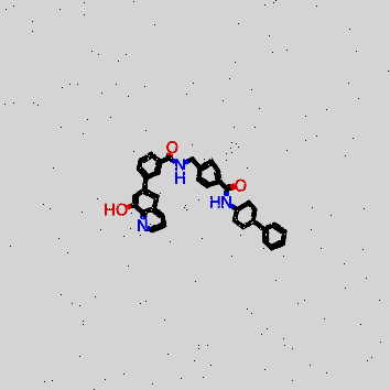 O=C(NCc1ccc(C(=O)NC2CCC(c3ccccc3)CC2)cc1)c1cccc(-c2cc(O)c3ncccc3c2)c1